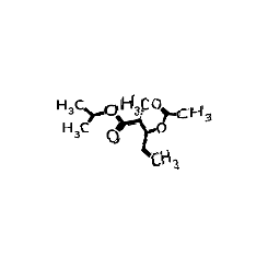 CCC(OC(C)=O)[C@@H](C)C(=O)OC(C)C